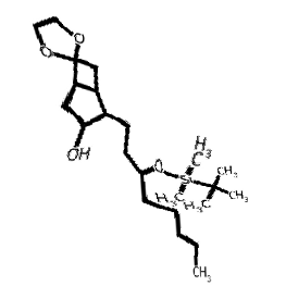 CCCCCC(CCC1C(O)CC2C1CC21OCCO1)O[Si](C)(C)C(C)(C)C